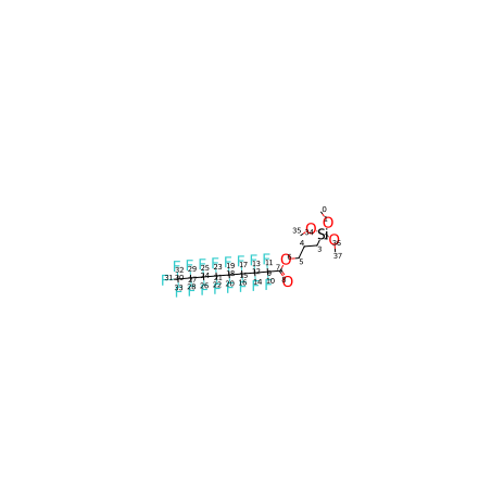 CO[Si](CCCOC(=O)C(F)(F)C(F)(F)C(F)(F)C(F)(F)C(F)(F)C(F)(F)C(F)(F)C(F)(F)F)(OC)OC